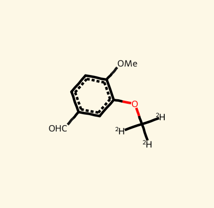 [2H]C([2H])([2H])Oc1cc(C=O)ccc1OC